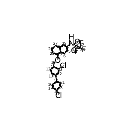 O=S(=O)(Nc1ccc2c(OCc3ccc(-c4ccc(Cl)cc4)cc3Cl)cccc2c1)C(F)(F)F